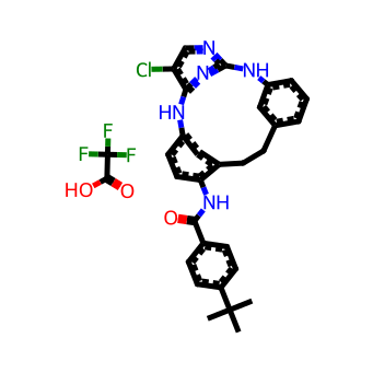 CC(C)(C)c1ccc(C(=O)Nc2ccc3cc2CCc2cccc(c2)Nc2ncc(Cl)c(n2)N3)cc1.O=C(O)C(F)(F)F